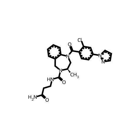 C[C@@H]1CN(C(=O)c2ccc(-n3cccn3)cc2Cl)c2ccccc2CN1C(=O)NCCC(N)=O